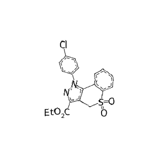 CCOC(=O)c1nn(-c2ccc(Cl)cc2)c2c1CS(=O)(=O)c1ccccc1-2